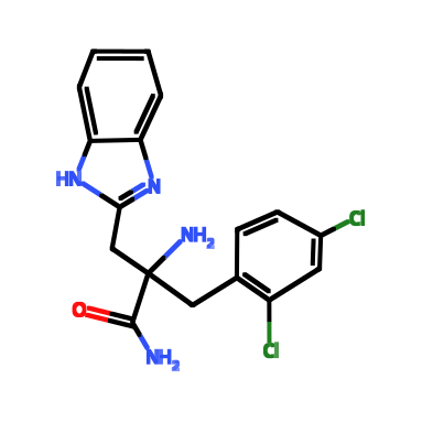 NC(=O)C(N)(Cc1nc2ccccc2[nH]1)Cc1ccc(Cl)cc1Cl